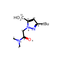 CN(C)C(=O)Cn1nc(C(C)(C)C)cc1C(=O)O